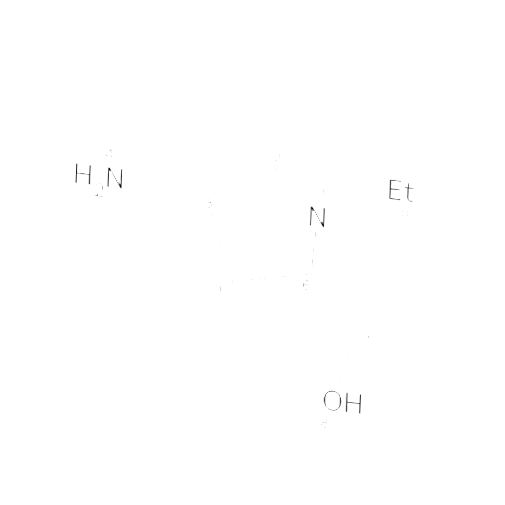 CCN1CC(N)CC1CO